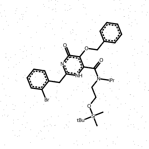 CC(C)N(CCO[Si](C)(C)C(C)(C)C)C(=O)c1[nH]c(Cc2ccccc2Br)nc(=O)c1OCc1ccccc1